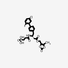 Cc1oc(=O)oc1COC(=O)C[C@@H](Cc1ccc(-c2cc(Cl)ccc2F)cc1)NC(=O)CCP(=O)(O)O